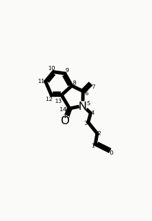 C=CCCCN1C(=C)c2ccccc2C1=O